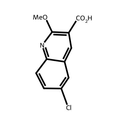 COc1nc2ccc(Cl)cc2cc1C(=O)O